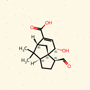 CC1(C)[C@H]2C[C@@]3([C@@H](O)C=C2C(=O)O)[C@@H](C=O)CC[C@@H]13